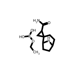 CCOB(O)O.NC(=O)C1CC12CCC1CCC2N1